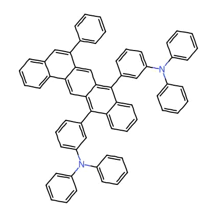 c1ccc(-c2cc3ccccc3c3cc4c(-c5cccc(N(c6ccccc6)c6ccccc6)c5)c5ccccc5c(-c5cccc(N(c6ccccc6)c6ccccc6)c5)c4cc23)cc1